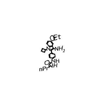 CCCNC(=O)Nc1ccc(-c2c(N)c3cc(OCC)ccc3n2C2CCC2)cc1